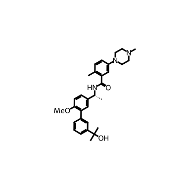 COc1ccc([C@@H](C)NC(=O)c2cc(N3CCN(C)CC3)ccc2C)cc1-c1cccc(C(C)(C)O)c1